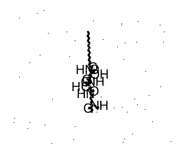 CCCCCCCCCCCCCCCC(=O)N[C@H](CCC(=O)N[C@H](CCC(=O)NCCCC[C@@H](NCC)C(=O)CC)C(=O)O)C(=O)O